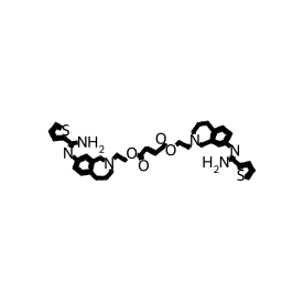 NC(=Nc1ccc2c(c1)CN(CCOC(=O)/C=C/C(=O)OCCN1CCCc3ccc(N=C(N)c4cccs4)cc3C1)CCC2)c1cccs1